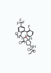 CCS(=O)(=O)N[C@H]1C[C@H]2CN(c3noc4cc(C(F)(F)F)cc(-c5c(F)cccc5F)c34)C(=O)N2C1